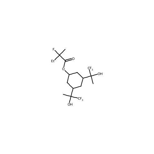 CCC(C)(F)C(=O)OC1CC(C(C)(O)C(F)(F)F)CC(C(C)(O)C(F)(F)F)C1